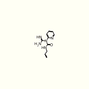 C=CCNC(=O)N(C(=N)N)c1ccccn1